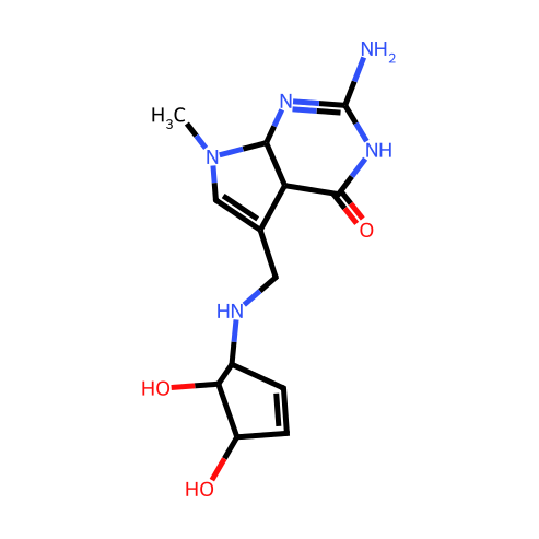 CN1C=C(CNC2C=CC(O)C2O)C2C(=O)NC(N)=NC21